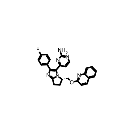 Nc1nccc(-c2c(-c3ccc(F)cc3)nc3n2[C@H](COc2ccc4ccccc4n2)CC3)n1